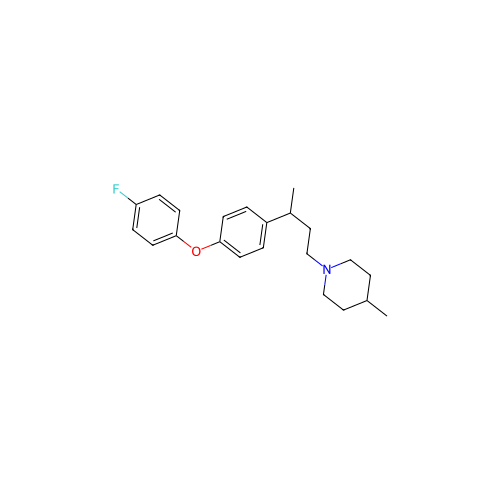 CC1CCN(CCC(C)c2ccc(Oc3ccc(F)cc3)cc2)CC1